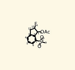 CC(=O)OC1c2c(cccc2S(C)(=O)=O)CC1F